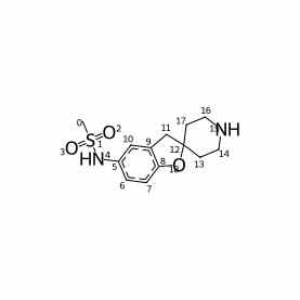 CS(=O)(=O)Nc1ccc2c(c1)CC1(CCNCC1)O2